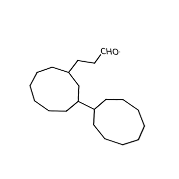 O=[C]CCC1CCCCCCC(C2CCCCCCCC2)C1